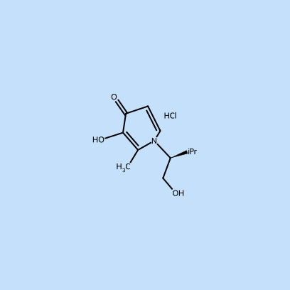 Cc1c(O)c(=O)ccn1[C@H](CO)C(C)C.Cl